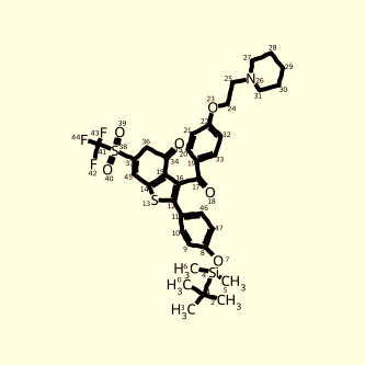 CC(C)(C)[Si](C)(C)Oc1ccc(-c2sc3c(c2C(=O)c2ccc(OCCN4CCCCC4)cc2)C(=O)CC(S(=O)(=O)C(F)(F)F)=C3)cc1